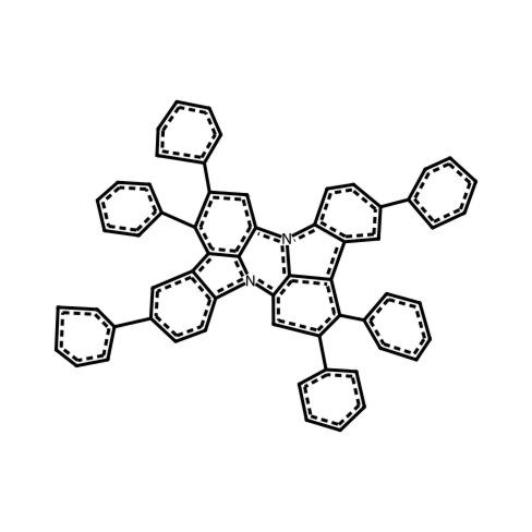 c1ccc(-c2ccc3c(c2)c2c(-c4ccccc4)c(-c4ccccc4)cc4c2n3c2cc(-c3ccccc3)c(-c3ccccc3)c3c5cc(-c6ccccc6)ccc5n4c32)cc1